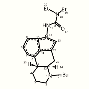 CCCCN1CCC[C@@H]2c3cccc4c3c(cn4NC(=O)N(CC)CC)C[C@H]21